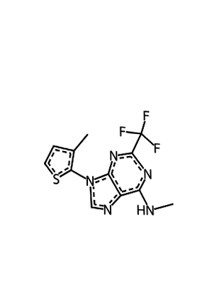 CNc1nc(C(F)(F)F)nc2c1ncn2-c1sccc1C